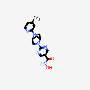 O=C(NO)c1cnc(N2CC3CC2CN3c2cc(C(F)(F)F)ccn2)nc1